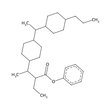 CCCC1CCC(C(C)C2CCC(C(C)C(CC)C(=O)Oc3ccccc3)CC2)CC1